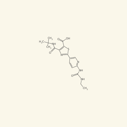 CCNC(=O)Nc1ccc(-c2nc(C(=O)NC(C)(C)C)c(C(=O)O)s2)cn1